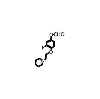 O=COc1ccc(OCCN2CCCCC2)c(F)c1